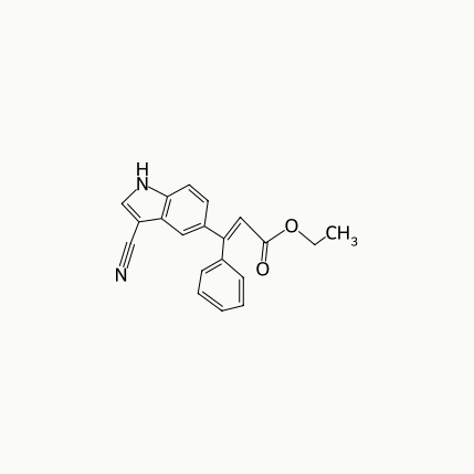 CCOC(=O)/C=C(\c1ccccc1)c1ccc2[nH]cc(C#N)c2c1